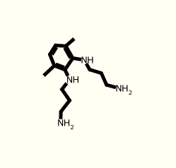 Cc1ccc(C)c(NCCCN)c1NCCCN